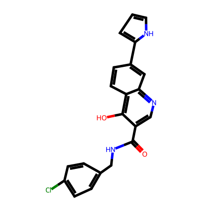 O=C(NCc1ccc(Cl)cc1)c1cnc2cc(-c3ccc[nH]3)ccc2c1O